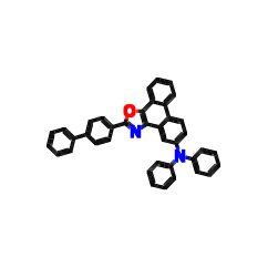 c1ccc(-c2ccc(-c3nc4c5cc(N(c6ccccc6)c6ccccc6)ccc5c5ccccc5c4o3)cc2)cc1